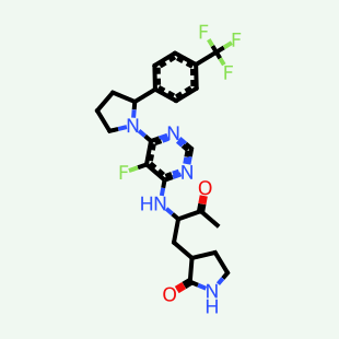 CC(=O)C(CC1CCNC1=O)Nc1ncnc(N2CCCC2c2ccc(C(F)(F)F)cc2)c1F